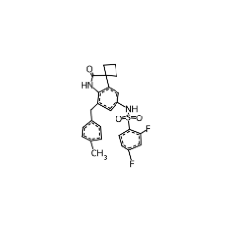 Cc1ccc(Cc2cc(NS(=O)(=O)c3ccc(F)cc3F)cc3c2NC(=O)C32CCC2)cc1